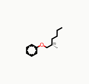 CCCC[C@H](C)COc1ccccc1